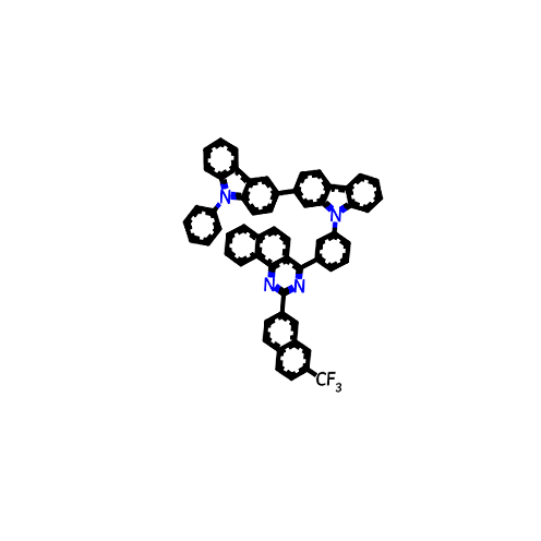 FC(F)(F)c1ccc2ccc(-c3nc(-c4cccc(-n5c6ccccc6c6ccc(-c7ccc8c(c7)c7ccccc7n8-c7ccccc7)cc65)c4)c4ccc5ccccc5c4n3)cc2c1